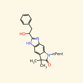 CCCCCN1C(=O)C(C)(C)c2cc3[nH]c(C(O)Cc4ccccc4)nc3cc21